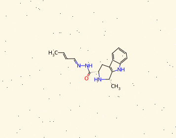 C/C=C/C=N/NC(=O)[C@@H]1Cc2c([nH]c3ccccc23)[C@H](C)N1